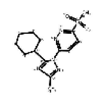 CS(=O)(=O)c1ccc(-n2nc(C(F)(F)F)nc2C2CCCCC2)nn1